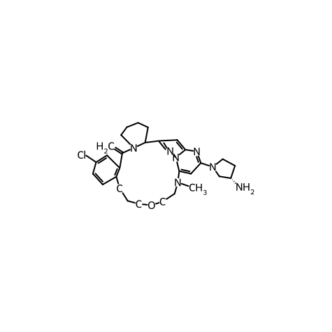 C=C1c2cc(Cl)ccc2CCCOCCN(C)c2cc(N3CC[C@H](N)C3)nc3cc(nn23)C2CCCCN12